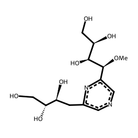 CO[C@@H](c1cncc(C[C@H](O)[C@H](O)CO)n1)[C@@H](O)[C@H](O)CO